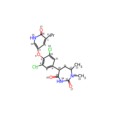 CC(C)c1cc(Oc2c(Cl)cc(C3CC(C)N(C)C(=O)NC3=O)cc2Cl)c[nH]c1=O